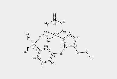 CCCc1ccc2n1Cc1cccc(C(F)(F)F)c1OC21CCNCC1